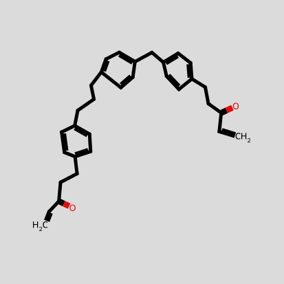 C=CC(=O)CCc1ccc(CCCc2ccc(Cc3ccc(CCC(=O)C=C)cc3)cc2)cc1